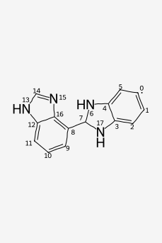 [c]1ccc2c(c1)NC(c1cccc3[nH]cnc13)N2